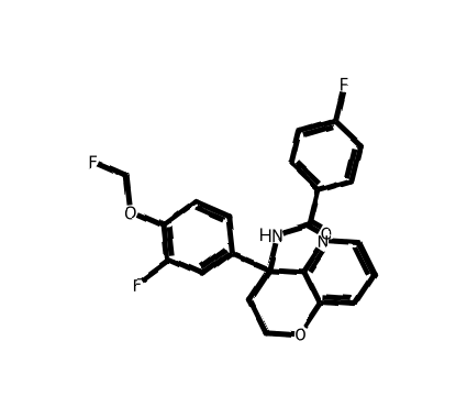 O=C(NC1(c2ccc(OCF)c(F)c2)CCOc2cccnc21)c1ccc(F)cc1